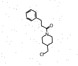 O=C(CCc1ccccc1)N1CCC(CCl)CC1